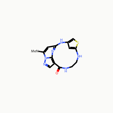 CNc1cc2nc3c(cnn13)C(=O)NCCNc1cc(cs1)N2